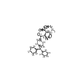 CC(C)c1onc(C(=O)N2CCN(C(c3ccccc3)c3ccccc3)CC2)c1[N+](=O)O